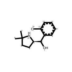 CC1(C)CC[C@H](C(O)c2ccccc2Cl)N1